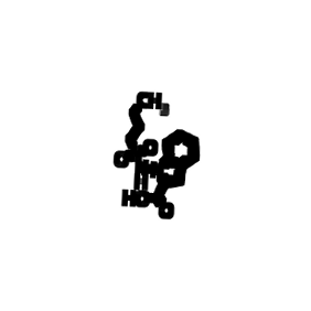 CCCCS(=O)(=O)Nn1c(C(=O)O)cc2ccccc21